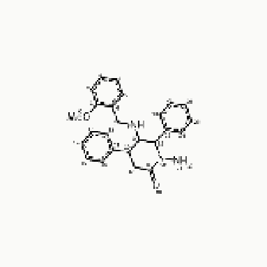 COc1ccccc1CNC1C(c2ccccc2)CC(=O)N(N)C1c1ccccc1